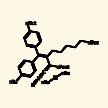 CCCCCCCCCCCCCCCC(C(=C=[N+]=[N-])CCCCC)=C(c1ccc(CCCC)cc1)c1ccc(CCCCCCCC)cc1.CCC[CH2][Ni][CH2]CCC